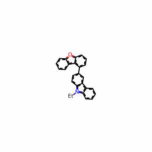 CCn1c2ccccc2c2cc(-c3cccc4oc5ccccc5c34)ccc21